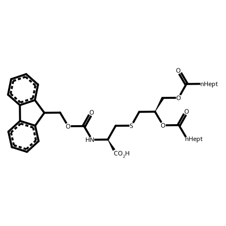 CCCCCCCC(=O)OC[C@H](CSC[C@H](NC(=O)OCC1c2ccccc2-c2ccccc21)C(=O)O)OC(=O)CCCCCCC